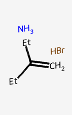 Br.C=C(CC)CC.N